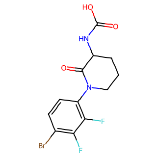 O=C(O)NC1CCCN(c2ccc(Br)c(F)c2F)C1=O